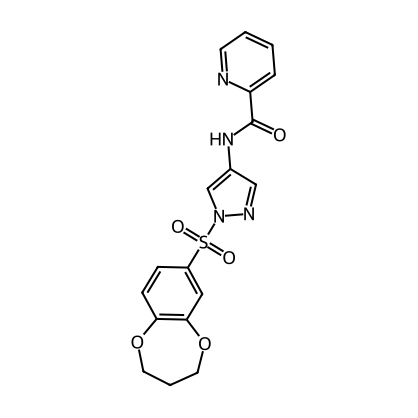 O=C(Nc1cnn(S(=O)(=O)c2ccc3c(c2)OCCCO3)c1)c1ccccn1